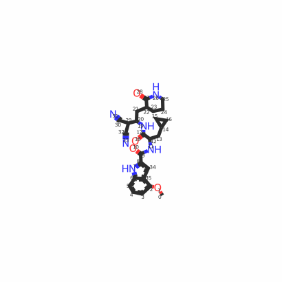 COc1cccc2[nH]c(C(=O)NC(CC3CC3)C(=O)NC(CC3CCCNC3=O)C(C#N)C#N)cc12